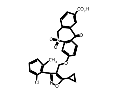 Cc1cccc(Cl)c1-c1noc(C2CC2)c1COc1ccc2c(c1)S(=O)(=O)Cc1ccc(C(=O)O)cc1C2=O